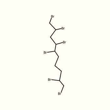 BrCC(Br)CCCC(Br)C(Br)CC(Br)CBr